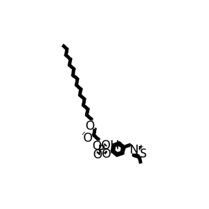 CCCCCCCCCCCCCCCCOCC(COP(=O)(O)Oc1ccc(C[n+]2csc(C)c2)cc1)OC